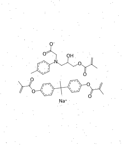 C=C(C)C(=O)OCC(O)CN(CC(=O)[O-])c1ccc(C)cc1.C=C(C)C(=O)Oc1ccc(C(C)(C)c2ccc(OC(=O)C(=C)C)cc2)cc1.[Na+]